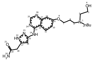 CCCCN(CCO)CCCOc1ccc2c(Nc3cc(CC(N)=O)[nH]n3)ncnc2c1